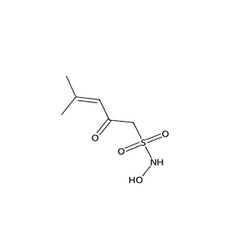 CC(C)=CC(=O)CS(=O)(=O)NO